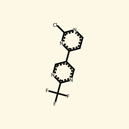 FC(F)(F)c1ncc(-c2ccnc(Cl)n2)cn1